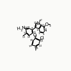 COc1nccc2c(-c3cc(N)c(C)cc3Oc3ccc(F)cc3Cl)cn(C)c12